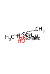 C=C.CCCCCCCCCCCC.CCCCCCCCCCCCO.O=S(=O)(O)O